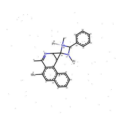 CC1=NC2C(c3c1c(C(C)(C)C)cc1ccccc31)C21N(C(C)C)C(c2ccccc2)[N@@+]1(C)C(C)C